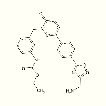 CCOC(=O)Nc1cccc(Cn2nc(-c3ccc(-c4noc(CN)n4)cc3)ccc2=O)c1